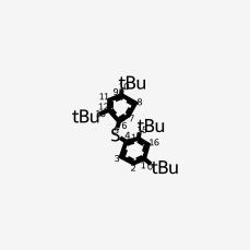 CC(C)(C)c1ccc(Sc2ccc(C(C)(C)C)cc2C(C)(C)C)c(C(C)(C)C)c1